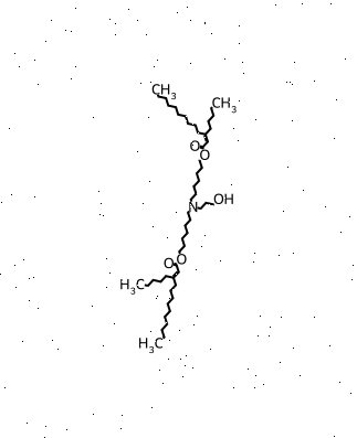 CCCCCCCCCCC(=CC(=O)OCCCCCCCN(CCCO)CCCCCCCOC(=O)/C=C(\CCCCC)CCCCCCCCCC)CCCCC